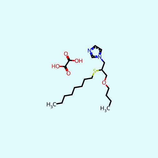 CCCCCCCCSC(COCCCC)Cn1ccnc1.O=C(O)C(=O)O